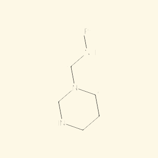 CC(C)NCN1CCCNC1